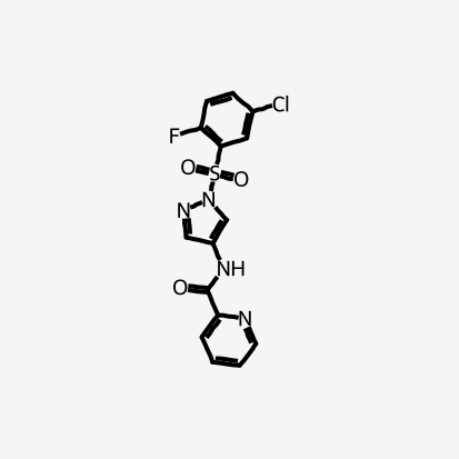 O=C(Nc1cnn(S(=O)(=O)c2cc(Cl)ccc2F)c1)c1ccccn1